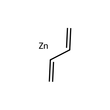 C=CC=C.[Zn]